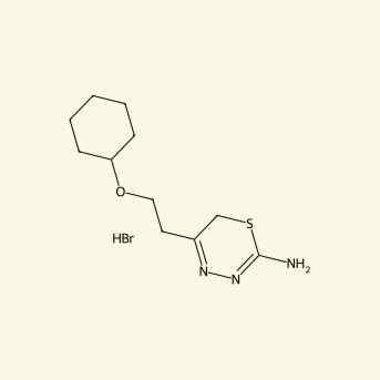 Br.NC1=NN=C(CCOC2CCCCC2)CS1